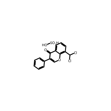 O=S(=O)(O)O.O=c1c(-c2ccccc2)coc2c(C(Cl)Cl)cccc12